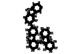 c1ccc2c(c1)sc1ccc(-c3ccc4c(c3)sc3cccc(-n5c6ccccc6c6ccccc65)c34)cc12